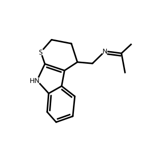 CC(C)=NCC1CCSc2[nH]c3ccccc3c21